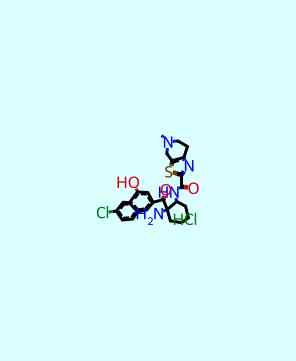 CN1CCc2nc(C(=O)NC3CCCCC3(N)C(=O)c3cc(O)c4cc(Cl)ccc4c3)sc2C1.Cl